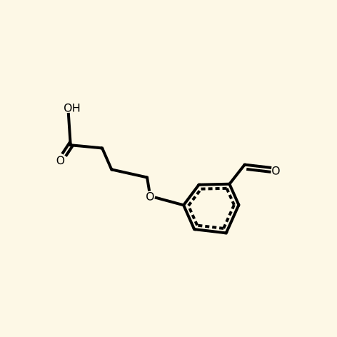 O=Cc1cccc(OCCCC(=O)O)c1